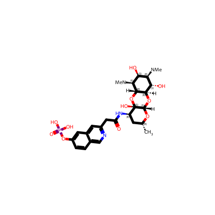 CN[C@@H]1[C@H](O)[C@H](NC)[C@H]2O[C@]3(O)[C@H](O[C@@H]2[C@H]1O)O[C@H](C)C[C@H]3NC(=O)Cc1cc2cc(OP(=O)(O)O)ccc2cn1